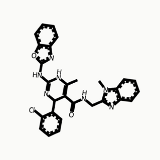 CC1=C(C(=O)NCc2nc3ccccc3n2C)C(c2ccccc2Cl)N=C(Nc2nc3ccccc3o2)N1